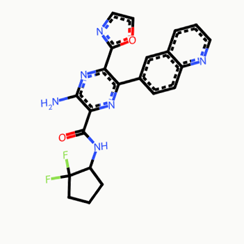 Nc1nc(-c2ncco2)c(-c2ccc3ncccc3c2)nc1C(=O)NC1CCCC1(F)F